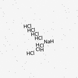 Cl.Cl.Cl.Cl.Cl.Cl.Cl.[NaH]